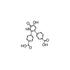 O=C(O)c1ccc(-c2cc(O)c(=O)[nH]c2-c2ccc(C(=O)O)cc2)cc1